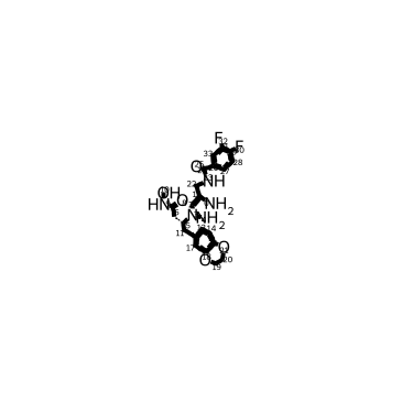 N/C(=C\N(N)[C@@H](CC(=O)NO)Cc1ccc2c(c1)OCCO2)CNC(=O)c1ccc(F)c(F)c1